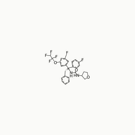 O=C(NC1CCOC1)N[C@](Cc1ccccc1)(c1ccc(F)cc1)c1cc(F)cc(OC(F)(F)C(F)F)c1